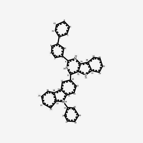 c1ccc(-c2cccc(-c3nc(-c4ccc5c(c4)c4ccccc4n5-c4ccccc4)c4sc5ccccc5c4n3)c2)cc1